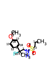 CCCS(=O)(=O)NCC(C)(F)c1ccc(OC)cc1